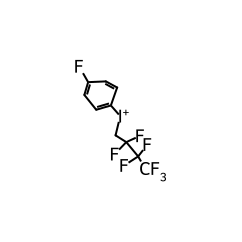 Fc1ccc([I+]CC(F)(F)C(F)(F)C(F)(F)F)cc1